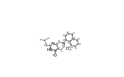 CC(C)Sc1nc2c(c(=O)[nH]1)CCN(c1cccc3cccc(Cl)c13)C2